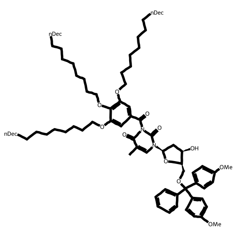 CCCCCCCCCCCCCCCCCCOc1cc(C(=O)n2c(=O)c(C)cn([C@H]3C[C@@H](O)[C@@H](COC(c4ccccc4)(c4ccc(OC)cc4)c4ccc(OC)cc4)O3)c2=O)cc(OCCCCCCCCCCCCCCCCCC)c1OCCCCCCCCCCCCCCCCCC